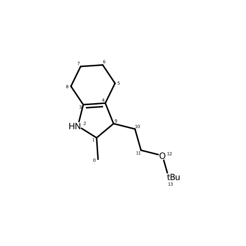 CC1NC2=C(CCCC2)C1CCOC(C)(C)C